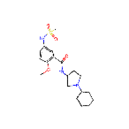 COc1ccc(NS(C)(=O)=O)cc1C(=O)NC1CCN(C2CCCCC2)C1